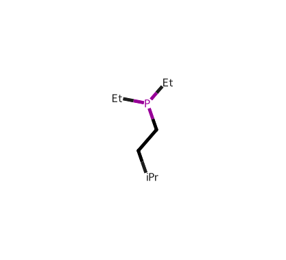 CCP(CC)CCC(C)C